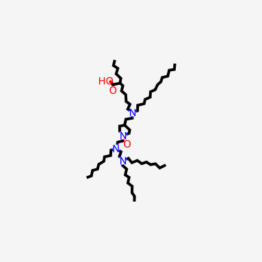 CCCCCCCCCCCCCCN(CCCCCCC(CCCCC)C(=O)O)CCC1CCN(C(=O)CN(CCCCCCCCC)CCN(CCCCCCCCC)CCCCCCCCC)CC1